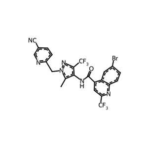 Cc1c(NC(=O)c2cc(C(F)(F)F)nc3ccc(Br)cc23)c(C(F)(F)F)nn1Cc1ccc(C#N)cn1